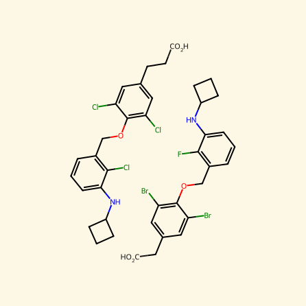 O=C(O)CCc1cc(Cl)c(OCc2cccc(NC3CCC3)c2Cl)c(Cl)c1.O=C(O)Cc1cc(Br)c(OCc2cccc(NC3CCC3)c2F)c(Br)c1